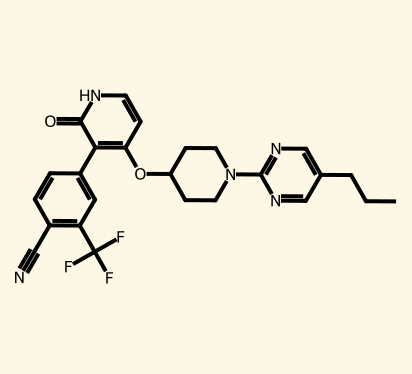 CCCc1cnc(N2CCC(Oc3cc[nH]c(=O)c3-c3ccc(C#N)c(C(F)(F)F)c3)CC2)nc1